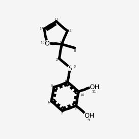 CC1(CSc2cccc(O)c2O)CC=CO1